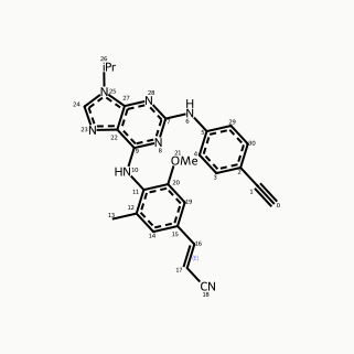 C#Cc1ccc(Nc2nc(Nc3c(C)cc(/C=C/C#N)cc3OC)c3ncn(C(C)C)c3n2)cc1